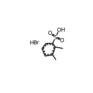 Br.Cc1cccc(S(=O)(=O)O)c1C